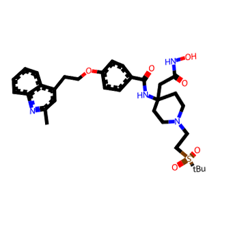 Cc1cc(CCOc2ccc(C(=O)NC3(CC(=O)NO)CCN(CCS(=O)(=O)C(C)(C)C)CC3)cc2)c2ccccc2n1